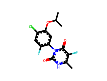 Cc1[nH]c(=O)n(-c2cc(OC(C)C)c(Cl)cc2F)c(=O)c1F